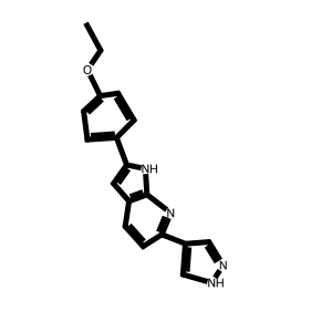 CCOc1ccc(-c2cc3ccc(-c4cn[nH]c4)nc3[nH]2)cc1